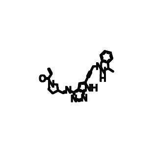 C=CC(=O)N1CCC(/C=N/c2ncnc3[nH]c(C#CCN4NC(C)c5ccccc54)cc23)C1